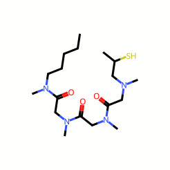 CCCCCN(C)C(=O)CN(C)C(=O)CN(C)C(=O)CN(C)CC(C)S